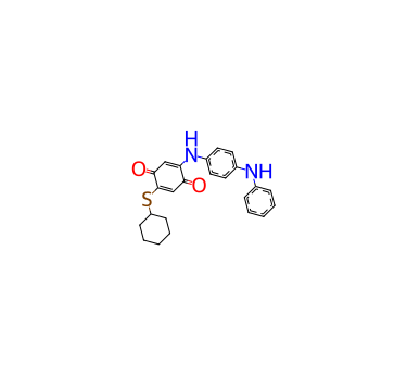 O=C1C=C(SC2CCCCC2)C(=O)C=C1Nc1ccc(Nc2ccccc2)cc1